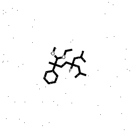 CCOC(OC)C(C)(CCC(F)(CC(C)C)CC(C)C)C1CCCCC1